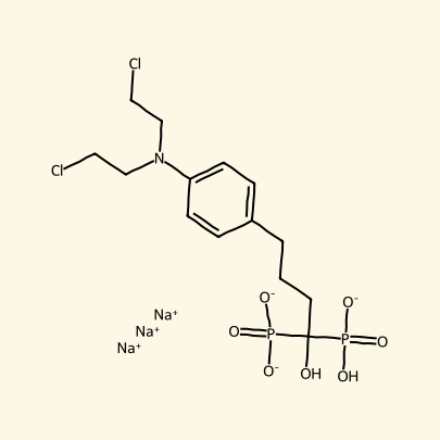 O=P([O-])([O-])C(O)(CCCc1ccc(N(CCCl)CCCl)cc1)P(=O)([O-])O.[Na+].[Na+].[Na+]